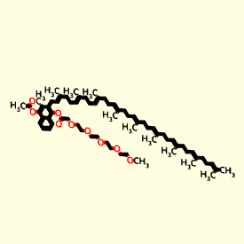 COCCOCCOCCOCCOCC(=O)Oc1c(C/C=C(\C)CC/C=C(\C)CC/C=C(\C)CC/C=C(\C)CC/C=C(\C)CC/C=C(\C)CC/C=C(\C)CC/C=C(\C)CCC=C(C)C)c(C)c(OC(C)=O)c2ccccc12